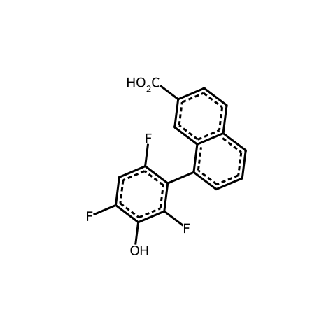 O=C(O)c1ccc2cccc(-c3c(F)cc(F)c(O)c3F)c2c1